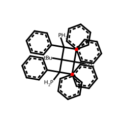 CC(C)(C)C(C(P)(c1ccccc1)c1ccccc1)(C(P)(c1ccccc1)c1ccccc1)C(P)(c1ccccc1)c1ccccc1